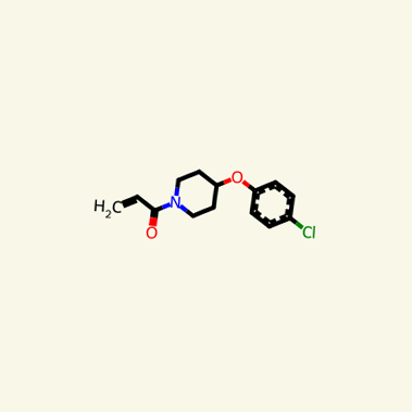 C=CC(=O)N1CCC(Oc2ccc(Cl)cc2)CC1